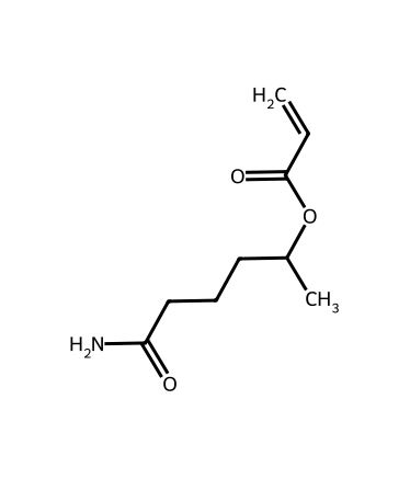 C=CC(=O)OC(C)CCCC(N)=O